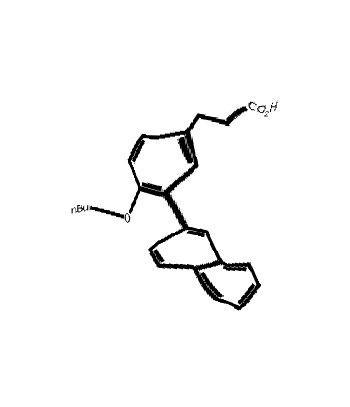 CCCCOc1ccc(CCC(=O)O)cc1-c1ccc2ccccc2c1